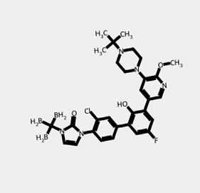 BC(B)(B)n1ccn(-c2ccc(-c3cc(F)cc(-c4cnc(OC)c(N5CCN(C(C)(C)C)CC5)c4)c3O)cc2Cl)c1=O